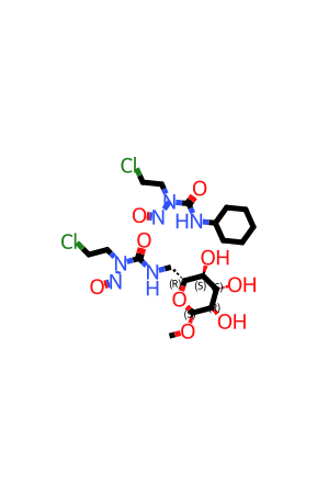 CO[C@H]1O[C@H](CNC(=O)N(CCCl)N=O)[C@@H](O)[C@H](O)[C@H]1O.O=NN(CCCl)C(=O)NC1CCCCC1